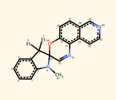 CCC1(CC)c2ccccc2N(C)C12C=Nc1c(ccc3cnccc13)O2